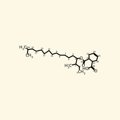 CCC(C)C(CCCCCCCCCCCC(C)C)OC(=O)C1CC=CCC1C(=O)O